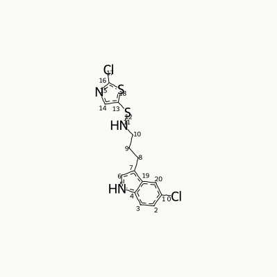 Clc1ccc2[nH]cc(CCCNSc3cnc(Cl)s3)c2c1